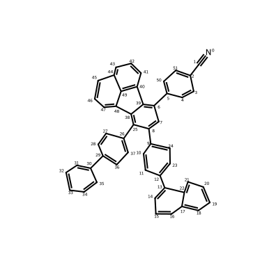 N#Cc1ccc(-c2cc(-c3ccc(-c4cccc5ccccc45)cc3)c(-c3ccc(-c4ccccc4)cc3)c3c2-c2cccc4cccc-3c24)cc1